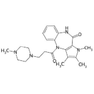 Cc1c2c(n(C)c1C)C(=O)Nc1ccccc1N2C(=O)CCN1CCN(C)CC1